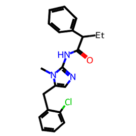 CCC(C(=O)Nc1ncc(Cc2ccccc2Cl)n1C)c1ccccc1